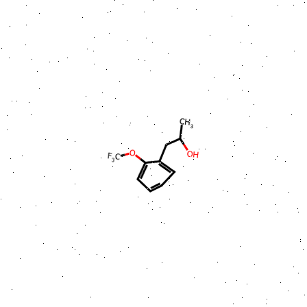 CC(O)Cc1ccccc1OC(F)(F)F